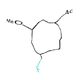 COC1CC(F)CCC(C(C)=O)C1